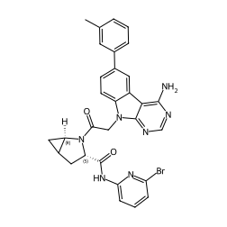 Cc1cccc(-c2ccc3c(c2)c2c(N)ncnc2n3CC(=O)N2[C@@H]3CC3C[C@H]2C(=O)Nc2cccc(Br)n2)c1